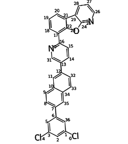 Clc1cc(Cl)cc(-c2ccc3cc(-c4ccc(-c5cccc6c5oc5ncccc56)nc4)ccc3c2)c1